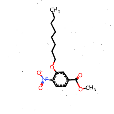 CCCCCCCCOc1cc(C(=O)OC)ccc1[N+](=O)[O-]